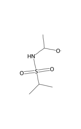 CC([O])NS(=O)(=O)C(C)C